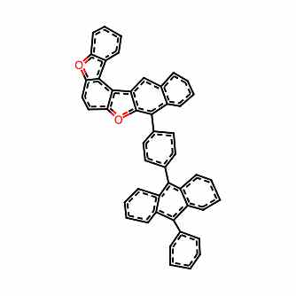 c1ccc(-c2c3ccccc3c(-c3ccc(-c4c5ccccc5cc5c4oc4ccc6oc7ccccc7c6c45)cc3)c3ccccc23)cc1